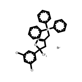 FC(F)(F)C1(c2cc(Cl)cc(Cl)c2)CC(C[P+](c2ccccc2)(c2ccccc2)c2ccccc2)=NO1.[Br-]